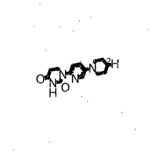 [2H]C1CCN(c2ccc(N3CCC(=O)NC3=O)nc2)CC1